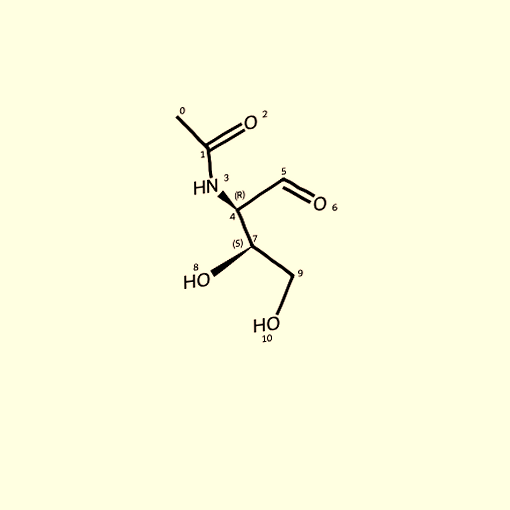 CC(=O)N[C@@H](C=O)[C@H](O)CO